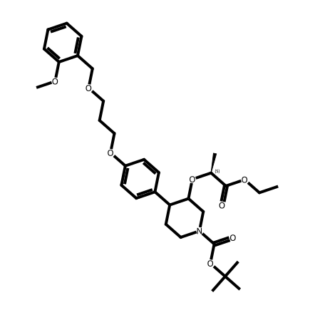 CCOC(=O)[C@H](C)OC1CN(C(=O)OC(C)(C)C)CCC1c1ccc(OCCCOCc2ccccc2OC)cc1